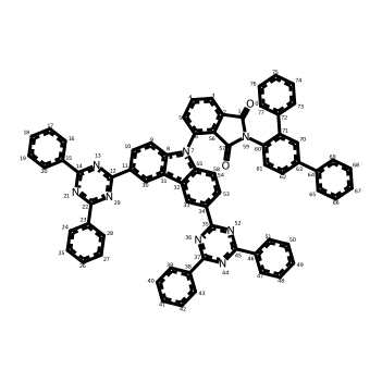 O=C1c2cccc(-n3c4ccc(-c5nc(-c6ccccc6)nc(-c6ccccc6)n5)cc4c4cc(-c5nc(-c6ccccc6)nc(-c6ccccc6)n5)ccc43)c2C(=O)N1c1ccc(-c2ccccc2)cc1-c1ccccc1